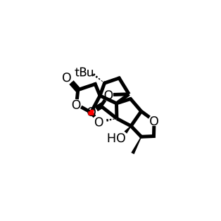 C[C@@H]1COC2CC34C5C[C@@H](C(C)(C)C)C36CC(=O)OC6O[C@@]4(C(=O)O5)[C@]21O